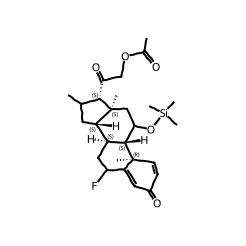 CC(=O)OCC(=O)[C@H]1C(C)C[C@H]2[C@@H]3CC(F)C4=CC(=O)C=C[C@]4(C)[C@H]3C(O[Si](C)(C)C)C[C@]12C